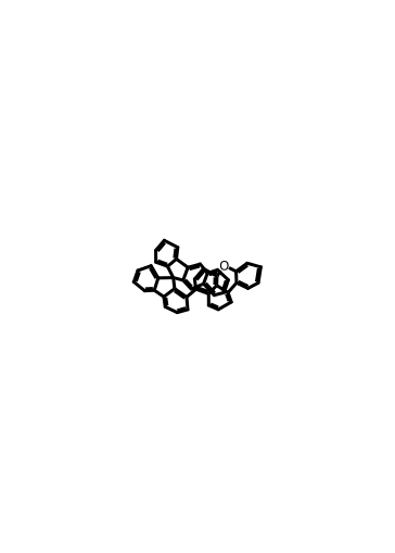 c1ccc2c(c1)Oc1ccc(-c3cccc4c3C3(c5ccccc5-c5cc6ccccc6cc53)c3ccccc3-4)c3cccc-2c13